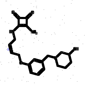 Nc1c(NC/C=C\COc2cccc(CN3CCCC(O)C3)c2)c(=O)c1=O